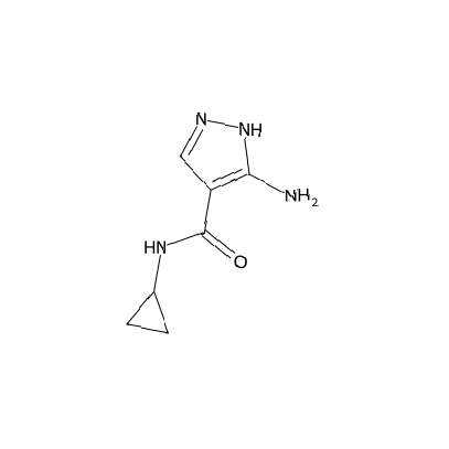 Nc1[nH]ncc1C(=O)NC1CC1